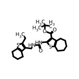 CCc1sc2c(c1CNC(=O)Nc1sc3c(c1C(=O)OC(C)(C)C)CCCCC3)CCCC2